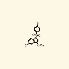 COc1cn(S(=O)(=O)c2ccc(Br)cc2)c2ccc(Cl)cc12